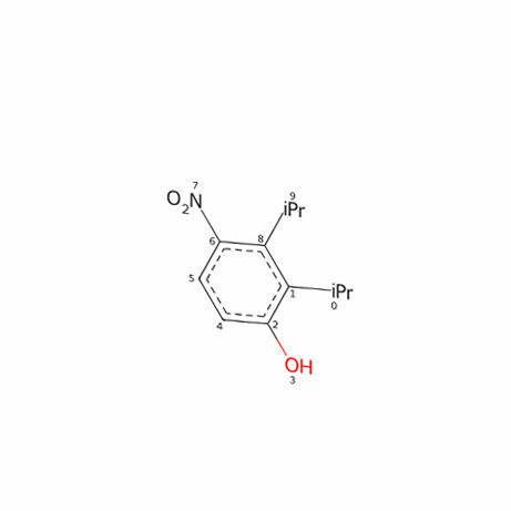 CC(C)c1c(O)ccc([N+](=O)[O-])c1C(C)C